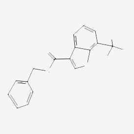 O=C(NCc1ccccc1)c1csc2c(C(F)(F)F)cccc12